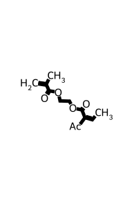 C=C(C)C(=O)OCCOC(=O)C(=CC)C(C)=O